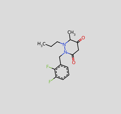 CCCN1C(C)C(=O)CC(=O)N1Cc1cccc(F)c1F